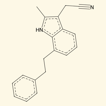 Cc1[nH]c2c(CCc3ccccc3)cccc2c1CC#N